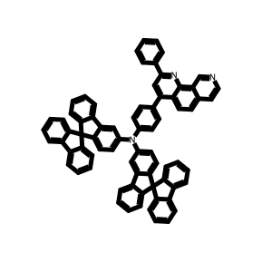 c1ccc(-c2cc(-c3ccc(N(c4ccc5c(c4)-c4ccccc4C54c5ccccc5-c5ccccc54)c4ccc5c(c4)-c4ccccc4C54c5ccccc5-c5ccccc54)cc3)c3ccc4ccncc4c3n2)cc1